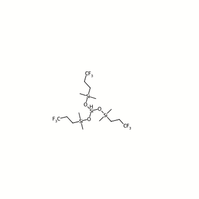 C[Si](C)(CCC(F)(F)F)O[SiH](O[Si](C)(C)CCC(F)(F)F)O[Si](C)(C)CCC(F)(F)F